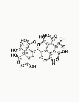 O=C(O)c1cc(CC(=O)c2c(C(=O)O)c(C(=O)O)c(C(=O)O)c(C(=O)O)c2C(=O)O)c(C(=O)O)c(C(=O)O)c1C(=O)O